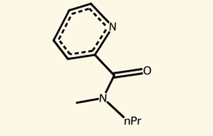 CCCN(C)C(=O)c1ccccn1